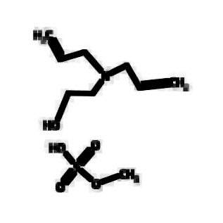 C=CCN(CC=C)CCO.COS(=O)(=O)O